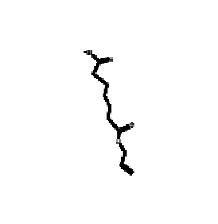 C=CCOC(=O)CCCCCC(=O)O